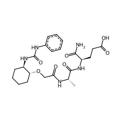 C[C@H](NC(=O)CO[C@@H]1CCCC[C@H]1NC(=O)Nc1ccccc1)C(=O)N[C@H](CCC(=O)O)C(N)=O